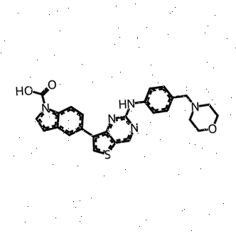 O=C(O)n1ccc2cc(-c3csc4cnc(Nc5ccc(CN6CCOCC6)cc5)nc34)ccc21